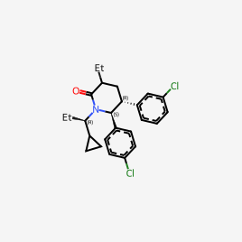 CCC1C[C@H](c2cccc(Cl)c2)[C@@H](c2ccc(Cl)cc2)N([C@H](CC)C2CC2)C1=O